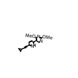 COc1ncc(-c2ccc(C#CC3CC3)nn2)c(OC)n1